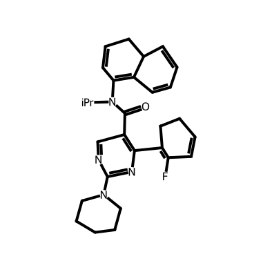 CC(C)N(C(=O)c1cnc(N2CCCCC2)nc1C1=C(F)C=CCC1)C1=C2C=CC=CC2CC=C1